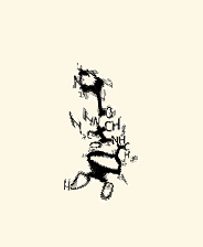 CC(NC(=O)C(C)(C)NC(=O)c1cncnc1)c1ccc(C(=O)O)cc1